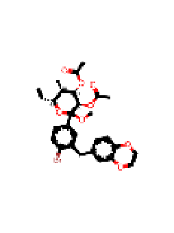 CC[C@H]1OC(OC)(c2ccc(Br)c(Cc3ccc4c(c3)OCCO4)c2)[C@H](OC(C)=O)[C@@H](OC(C)=O)[C@@H]1C